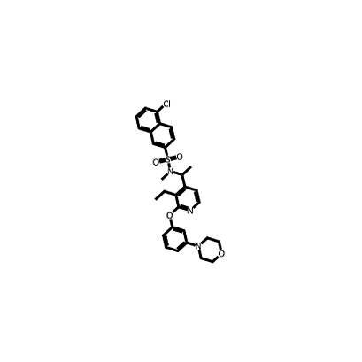 CCc1c(C(C)N(C)S(=O)(=O)c2ccc3c(Cl)cccc3c2)ccnc1Oc1cccc(N2CCOCC2)c1